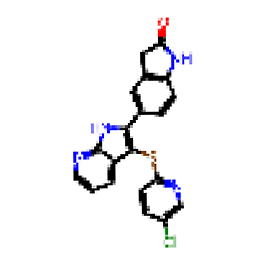 O=C1Cc2cc(-c3[nH]c4ncccc4c3Sc3ccc(Cl)cn3)ccc2N1